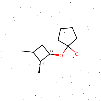 CC1C[C@@H](OC2([O])CCCC2)[C@H]1C